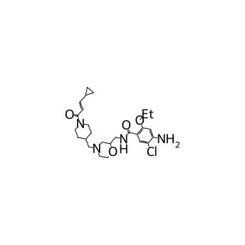 CCOc1cc(N)c(Cl)cc1C(=O)NCC1CN(CC2CCN(C(=O)C=CC3CC3)CC2)CCO1